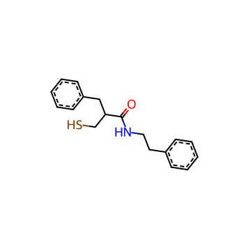 O=C(NCCc1ccccc1)C(CS)Cc1ccccc1